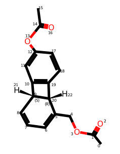 CC(=O)OCC1=CC=C[C@@H]2c3cc(OC(C)=O)ccc3[C@H]12